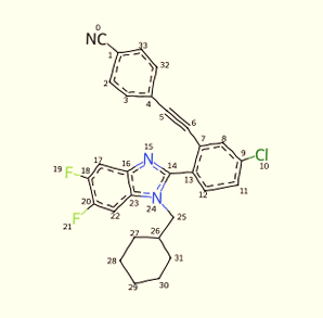 N#Cc1ccc(C#Cc2cc(Cl)ccc2-c2nc3cc(F)c(F)cc3n2CC2CCCCC2)cc1